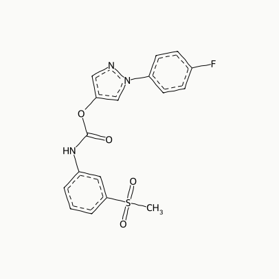 CS(=O)(=O)c1cccc(NC(=O)Oc2cnn(-c3ccc(F)cc3)c2)c1